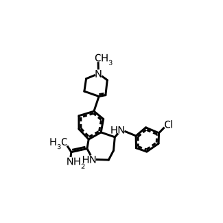 C/C(N)=C1/NCCC(Nc2cccc(Cl)c2)c2cc(C3=CCN(C)CC3)ccc21